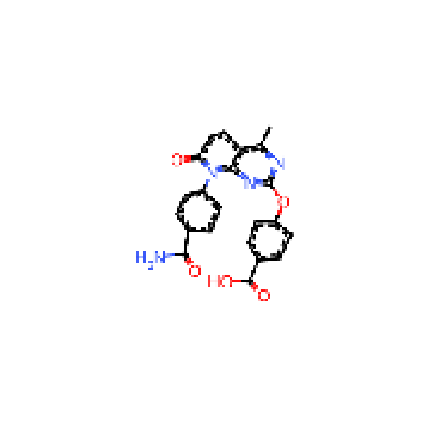 Cc1nc(Oc2ccc(C(=O)O)cc2)nc2c1ccc(=O)n2-c1ccc(C(N)=O)cc1